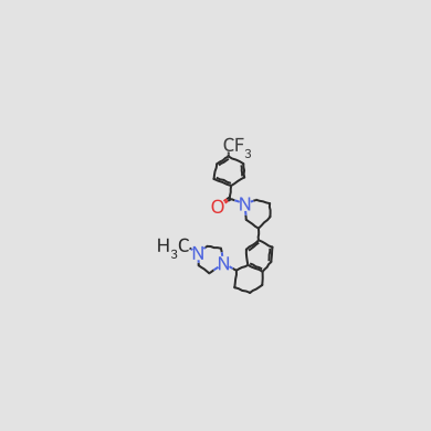 CN1CCN(C2CCCc3ccc(C4CCCN(C(=O)c5ccc(C(F)(F)F)cc5)C4)cc32)CC1